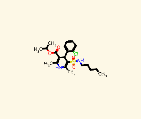 CCCCCNS(=O)(=O)C1=C(C)NC(C)=C(C(=O)OC(C)C)C1c1ccccc1Cl